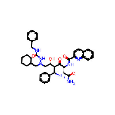 NC(=O)C[C@H](NC(=O)c1ccc2ccccc2n1)C(=O)C(C(N)c1ccccc1)[C@@H](O)CN(CC1CCCCC1)NC(=O)NCc1ccccc1